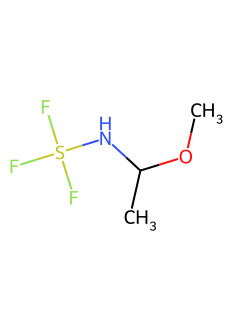 COC(C)NS(F)(F)F